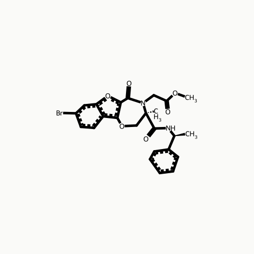 COC(=O)CN1C(=O)c2oc3cc(Br)ccc3c2OC[C@]1(C)C(=O)N[C@@H](C)c1ccccc1